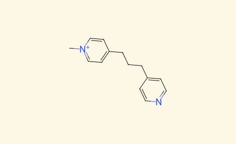 C[n+]1ccc(CCCc2ccncc2)cc1